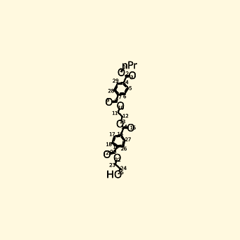 CCCOC(=O)c1ccc(C(=O)OCCOC(=O)c2ccc(C(=O)OCCO)cc2)cc1